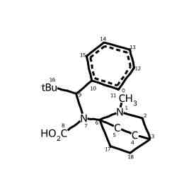 CN1CC2CCC1(N(C(=O)O)C(c1ccccc1)C(C)(C)C)CC2